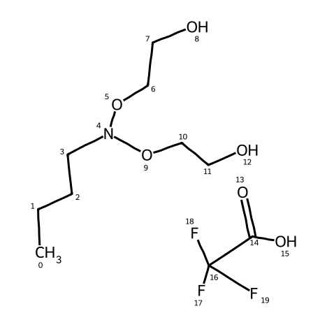 CCCCN(OCCO)OCCO.O=C(O)C(F)(F)F